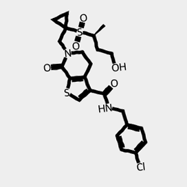 C[C@@H](CCO)S(=O)(=O)C1(CN2CCc3c(C(=O)NCc4ccc(Cl)cc4)csc3C2=O)CC1